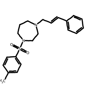 Cc1ccc(S(=O)(=O)N2CCCN(CC=Cc3ccccc3)CC2)cc1